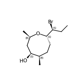 CC[C@H](Br)[C@@H]1CC[C@@H](C)[C@@H](O)C[C@@H](C)O1